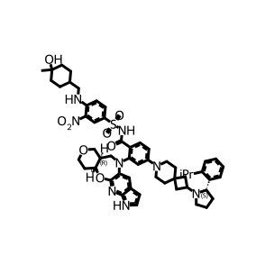 CC(C)c1ccccc1[C@@H]1CCCN1C1CC2(CCN(c3ccc(C(=O)NS(=O)(=O)c4ccc(NCC5CCC(C)(O)CC5)c([N+](=O)[O-])c4)c(N4C[C@@H]5COCC[C@H]5Oc5nc6[nH]ccc6cc54)c3)CC2)C1